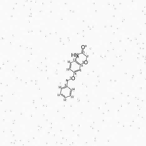 O=C1COc2cc(OCc3ccccc3)ccc2N1